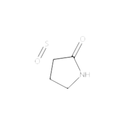 O=C1CCCN1.O=S